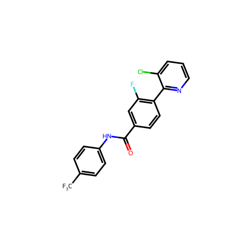 O=C(Nc1ccc(C(F)(F)F)cc1)c1ccc(-c2ncccc2Cl)c(F)c1